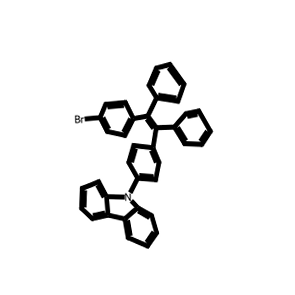 Brc1ccc(C(=C(c2ccccc2)c2ccc(-n3c4ccccc4c4ccccc43)cc2)c2ccccc2)cc1